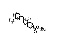 CC(C)(C)OC(=O)N1CCC2(CC1)CCN(Cc1ccnc(C(F)(F)F)n1)C2=O